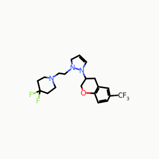 FC1(F)CCN(CCN2CC=CN2C2COc3ccc(C(F)(F)F)cc3C2)CC1